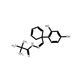 CC(C)(C)C(=O)N/N=C\C1(c2ccc(O)cc2O)C=CC=CC1